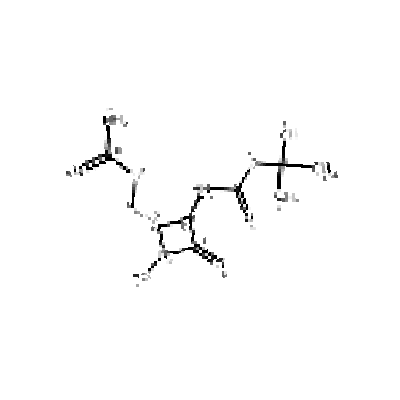 CC(C)(C)OC(=O)N[C@H]1C(=O)N(O)[C@@H]1COC(N)=O